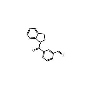 O=Cc1cccc(C(=O)N2CCc3ccccc32)c1